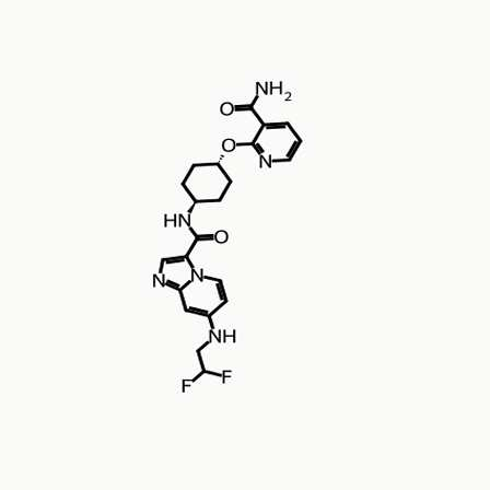 NC(=O)c1cccnc1O[C@H]1CC[C@H](NC(=O)c2cnc3cc(NCC(F)F)ccn23)CC1